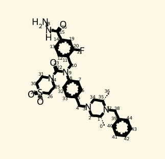 C[C@@H]1CN(Cc2ccc(N(Cc3ccc(C(=O)NN)cc3F)C(=O)N3CCS(=O)(=O)CC3)cc2)C[C@H](C)N1Cc1ccccc1